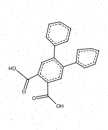 O=C(O)c1cc(-c2ccccc2)c(-c2ccccc2)cc1C(=O)O